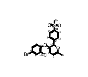 CC1=CC=C(Oc2ccc(Br)cc2Cl)C(c2ccc(S(C)(=O)=O)cc2)O1